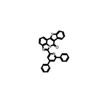 O=c1c2c3ccccc3sc2c2cccc3nc(-c4cc(-c5ccccc5)cc(-c5ccccc5)n4)n1c32